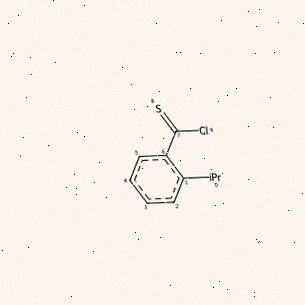 CC(C)c1ccccc1C(=S)Cl